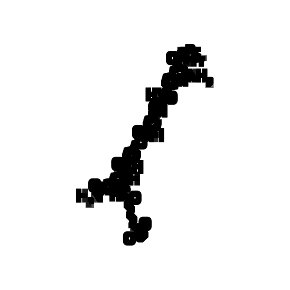 CCCN(CCC)C(=O)C1=Cc2ccc(C(=O)Nc3ccc(N4CCC(NC(=O)OCc5ccc(NC(=O)[C@H](CCCNC(N)=O)NC(=O)CNC(=O)CCCCCN6C(=O)C=CC6=O)cc5)CC4)nc3)cc2N=C(N)C1